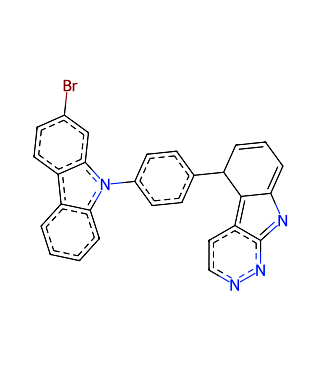 Brc1ccc2c3ccccc3n(-c3ccc(C4C=CC=C5N=c6nnccc6=C54)cc3)c2c1